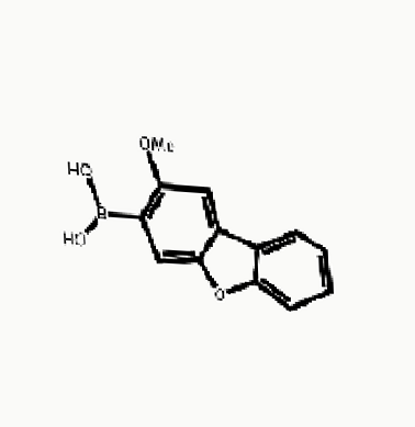 COc1cc2c(cc1B(O)O)oc1ccccc12